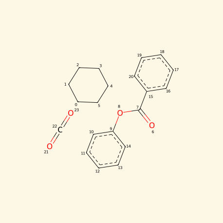 C1CCCCC1.O=C(Oc1ccccc1)c1ccccc1.O=C=O